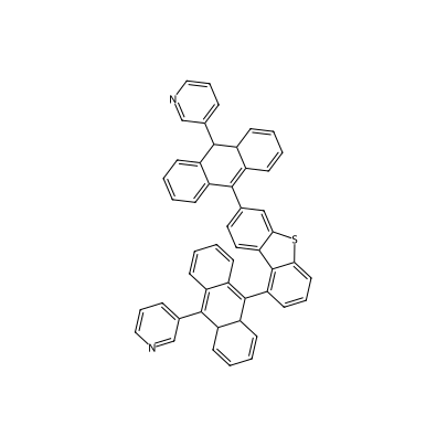 C1=CC2=C(c3ccc4c(c3)sc3cccc(C5=c6ccccc6=C(c6cccnc6)C6C=CC=CC56)c34)c3ccccc3C(c3cccnc3)C2C=C1